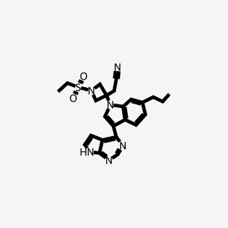 CCCc1ccc2c(-c3ncnc4[nH]ccc34)cn(C3(CC#N)CN(S(=O)(=O)CC)C3)c2c1